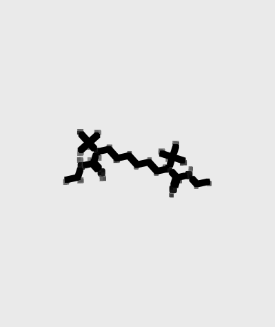 CCOC(=O)N(CCCCCCN(C(=O)OCC)C(C)(C)C)C(C)(C)C